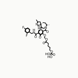 CC1=NO[C@@]2(CC[C@H](C)N3C[C@H]2n2cc(C(=O)NCc4ccc(F)cc4F)c(=O)c(OCOC(=O)CCCCOP(=O)(O)O)c2C3=O)C1